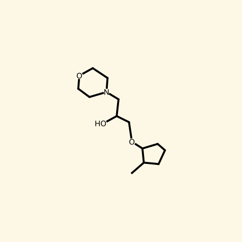 CC1CCCC1OCC(O)CN1CCOCC1